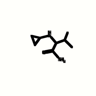 CC(C)C(NC1CC1)C(N)=O